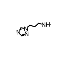 [NH]CCCn1cncn1